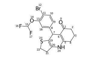 O=C1CCCC2=C1C(c1ccc(Br)c(OC(F)F)c1)C1=C(CCS1)N2